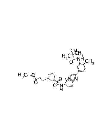 CCOC(=O)C=Cc1cccc(S(=O)(=O)Nc2ccc3nc(-c4ccc(C)c(NC(=O)C(C)(C)C)c4)cn3n2)c1